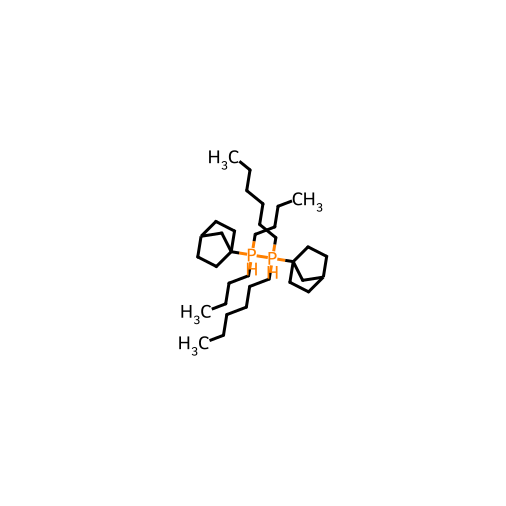 CCCCCC[PH](CCCCCC)(C12CCC(CC1)C2)[PH](CCCC)(CCCC)C12CCC(CC1)C2